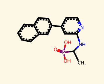 CC(Nc1cc(-c2ccc3ccccc3c2)ccn1)P(=O)(O)O